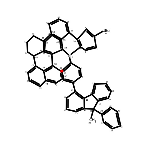 CC(C)(C)c1ccc(N(c2ccc(-c3cccc4c3-c3ccccc3C4(C)c3ccccc3)cc2)c2ccccc2-c2cccc3cccc(C4CCCCC4)c23)c(-c2ccccc2)c1